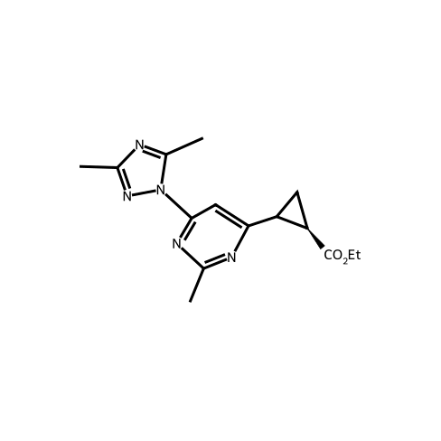 CCOC(=O)[C@@H]1CC1c1cc(-n2nc(C)nc2C)nc(C)n1